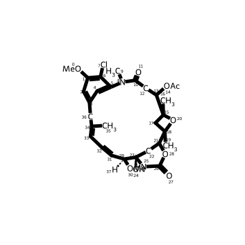 COc1cc2cc(c1Cl)N(C)C(=O)CC(OC(C)=O)C1(C)CC(C)(O1)C1C[C@](O)(NC(=O)O1)[C@@H](OC)/C=C/C=C(\C)C2